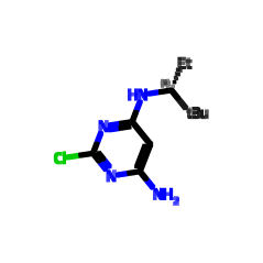 CC[C@@H](Nc1cc(N)nc(Cl)n1)C(C)(C)C